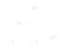 CCCCCC(OC)(OC)[SiH2]C